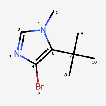 Cn1cnc(Br)c1C(C)(C)C